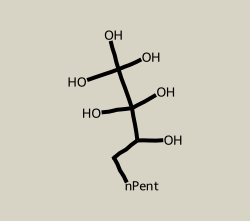 CCCCCCC(O)C(O)(O)C(O)(O)O